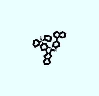 S=P(c1ccccc1)(c1ccccc1)c1ccc2c3cc4ccccc4cc3c3nc4ccc(-c5cccc6ccccc56)cc4n3c2c1